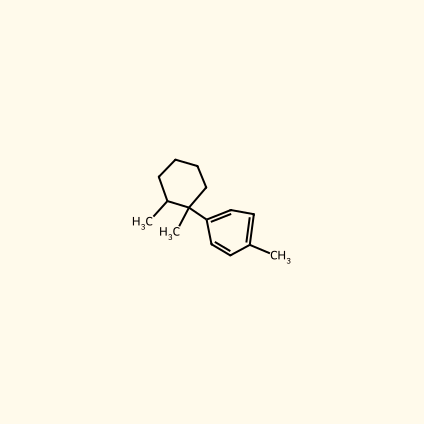 Cc1ccc(C2(C)CCCCC2C)cc1